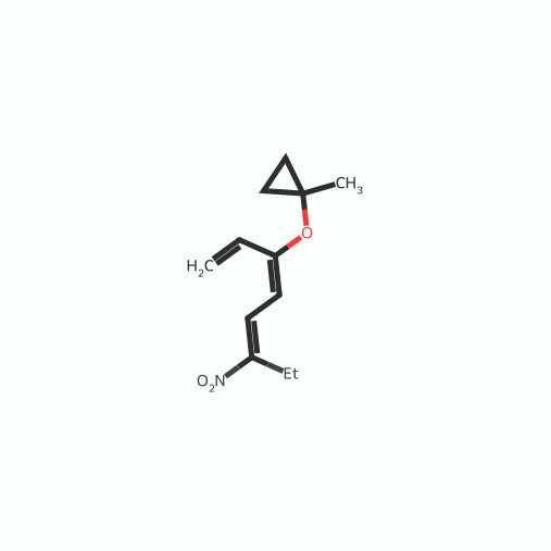 C=C/C(=C\C=C(/CC)[N+](=O)[O-])OC1(C)CC1